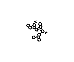 CC(C)(C)c1cc(-c2ccc3c(c2)c2ccccc2n3-c2ccccc2)c2c(c1)c1cc3ccccc3c3c4c5c6cc(C(C)(C)C)cc7c8c9ccccc9ccc8n(c5cnc4n2c13)c76